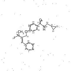 CN(I)/C(=C/c1ccccc1)COc1ccc(C(=O)NCC2CC2)cn1